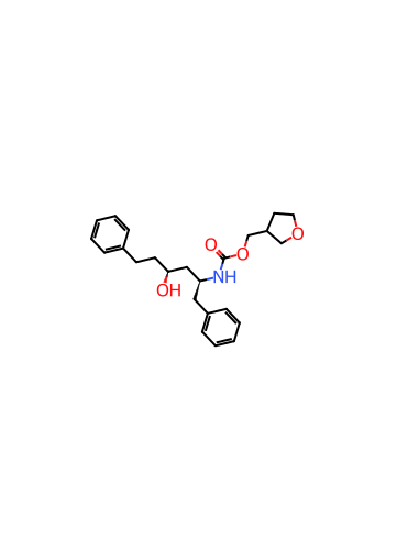 O=C(N[C@@H](Cc1ccccc1)C[C@@H](O)CCc1ccccc1)OCC1CCOC1